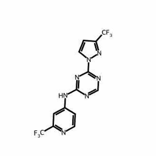 FC(F)(F)c1cc(Nc2ncnc(-n3ccc(C(F)(F)F)n3)n2)ccn1